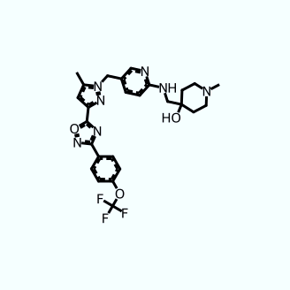 Cc1cc(-c2nc(-c3ccc(OC(F)(F)F)cc3)no2)nn1Cc1ccc(NCC2(O)CCN(C)CC2)nc1